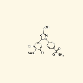 COc1c(Cl)cc(-c2cc(CO)nn2-c2ccc(S(N)(=O)=O)cc2)cc1Cl